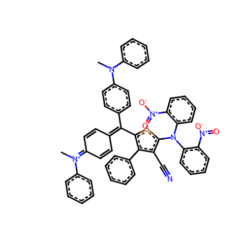 CN(c1ccccc1)c1ccc(C(=C2C=CC(=[N+](C)c3ccccc3)C=C2)c2sc(N(c3ccccc3[N+](=O)[O-])c3ccccc3[N+](=O)[O-])c(C#N)c2-c2ccccc2)cc1